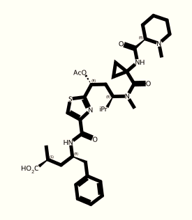 CC(=O)O[C@H](C[C@H](C(C)C)N(C)C(=O)C1(NC(=O)[C@H]2CCCCN2C)CC1)c1nc(C(=O)N[C@@H](Cc2ccccc2)C[C@H](C)C(=O)O)cs1